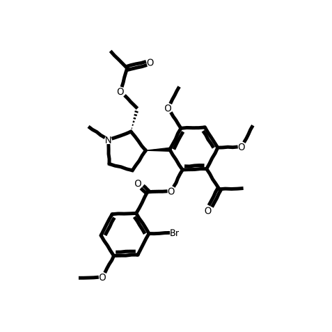 COc1ccc(C(=O)Oc2c(C(C)=O)c(OC)cc(OC)c2[C@H]2CCN(C)[C@@H]2COC(C)=O)c(Br)c1